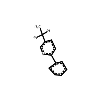 [2H]C([2H])(C)c1ccc(-c2ccccc2)nc1